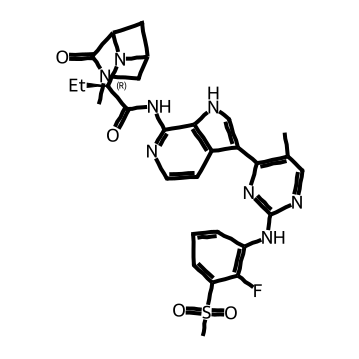 CC[C@H](C(=O)Nc1nccc2c(-c3nc(Nc4cccc(S(C)(=O)=O)c4F)ncc3C)c[nH]c12)N1C2CC1C(=O)N(C)C2